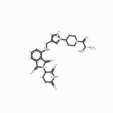 C[C@H](O)C(=O)N1CCC(n2cc(CNc3cccc4c3C(=O)N(C3CCC(=O)NC3=O)C4=O)cn2)CC1